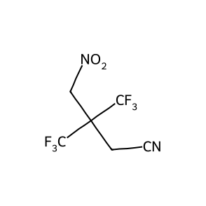 N#CCC(C[N+](=O)[O-])(C(F)(F)F)C(F)(F)F